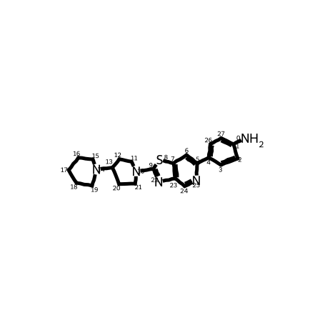 Nc1ccc(-c2cc3sc(N4CCC(N5CCCCC5)CC4)nc3cn2)cc1